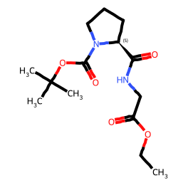 CCOC(=O)CNC(=O)[C@@H]1CCCN1C(=O)OC(C)(C)C